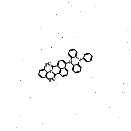 CC(C)c1cccc(C(C)C)c1N1C(=O)c2cccc3c(N4c5ccccc5N(c5ccccc5)c5ccccc54)ccc(c23)C1=O